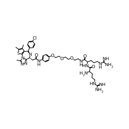 Cc1sc2c(c1C)C(c1ccc(Cl)cc1)=N[C@@H](CC(=O)Nc1ccc(OCCOCCOCCNC(=O)C(CCCNC(=N)N)NC(=O)C(N)CCCNC(=N)N)cc1)c1nnc(C)n1-2